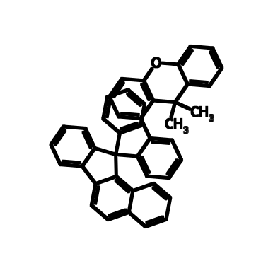 CC1(C)c2ccccc2Oc2cccc(-c3ccccc3C3(c4ccccc4)c4ccccc4-c4ccc5ccccc5c43)c21